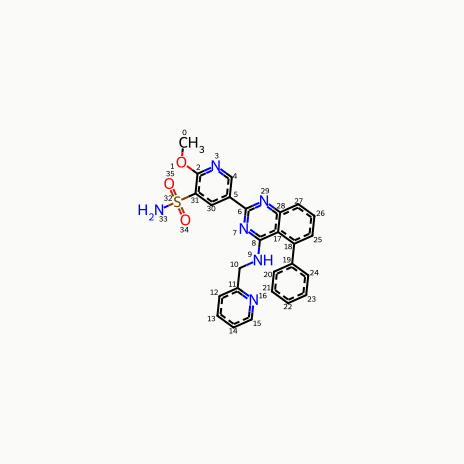 COc1ncc(-c2nc(NCc3ccccn3)c3c(-c4ccccc4)cccc3n2)cc1S(N)(=O)=O